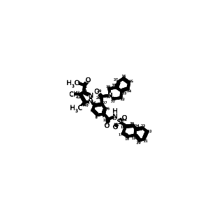 CC(=O)c1nn(-c2ccc(C(=O)NS(=O)(=O)c3ccc4ccccc4c3)cc2C(=O)N2CCc3ccccc3C2)c(C)c1Cl